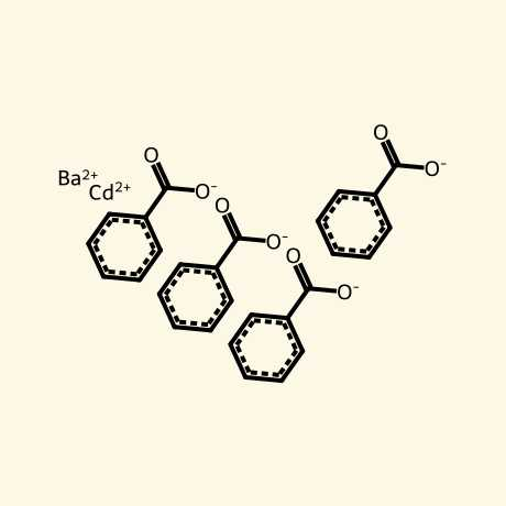 O=C([O-])c1ccccc1.O=C([O-])c1ccccc1.O=C([O-])c1ccccc1.O=C([O-])c1ccccc1.[Ba+2].[Cd+2]